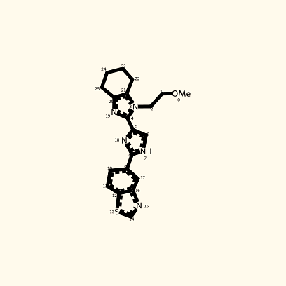 COCCn1c(-c2c[nH]c(-c3ccc4scnc4c3)n2)nc2c1CCCC2